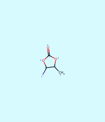 CC1OC(=O)OC1I